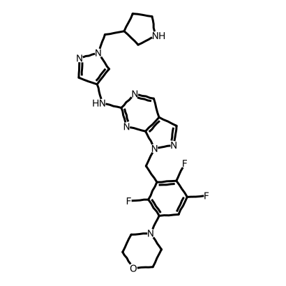 Fc1cc(N2CCOCC2)c(F)c(Cn2ncc3cnc(Nc4cnn(CC5CCNC5)c4)nc32)c1F